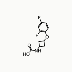 O=C(O)NC1CC(Oc2ccc(F)cc2F)C1